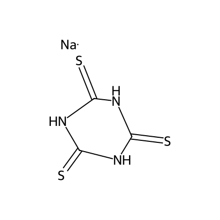 S=c1[nH]c(=S)[nH]c(=S)[nH]1.[Na]